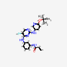 BC(B)(B)Oc1ccc(Nc2ncc(F)c(Nc3cccc(NC(=O)C=C)c3)n2)cn1